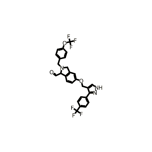 O=CC1c2ccc(OCc3c[nH]nc3-c3ccc(C(F)(F)F)cc3)cc2CN1Cc1ccc(OC(F)(F)F)cc1